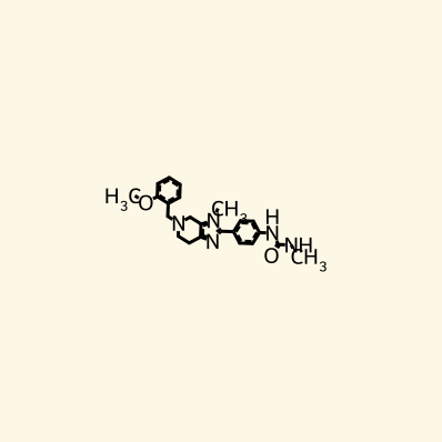 CNC(=O)Nc1ccc(-c2nc3c(n2C)CN(Cc2ccccc2OC)CC3)cc1